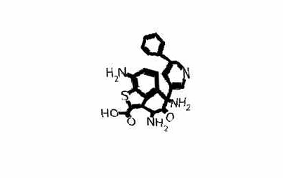 Nc1ccc2c3c(c(C(=O)O)sc13)C(N)C(=O)C2(N)c1cncc(-c2ccccc2)c1